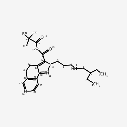 CCC(CC)CNCCCn1nc2c(c1C(=O)OC(=O)C(F)(F)F)CCc1cnccc1-2